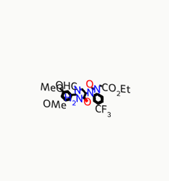 CCOC(=O)Cn1c(=O)n(C(CN(C=O)Cc2cc(OC)cc(OC)c2)C(N)=O)c2cc(C(F)(F)F)ccc21